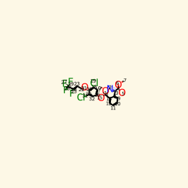 CO/N=C(/C(=O)OC)c1ccccc1COc1cc(Cl)c(OCC=C(F)C(F)(F)F)c(Cl)c1